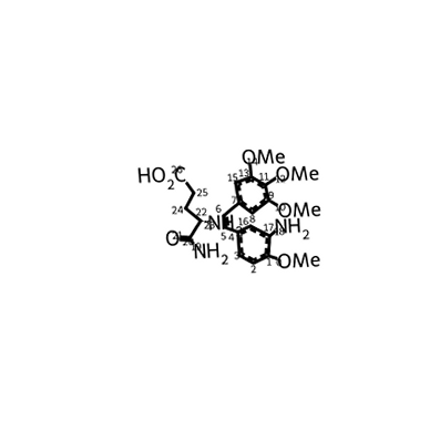 COc1ccc(/C=C\c2cc(OC)c(OC)c(OC)c2)cc1N.NC(=O)[C@@H](N)CCC(=O)O